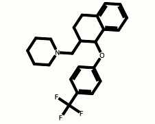 FC(F)(F)c1ccc(OC2c3ccccc3CCC2CN2CCCCC2)cc1